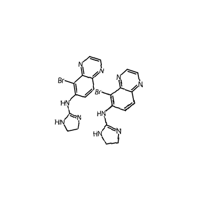 Brc1c(NC2=NCCN2)ccc2nccnc12.Brc1c(NC2=NCCN2)ccc2nccnc12